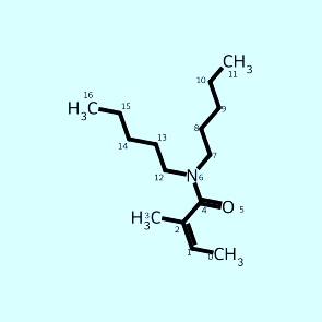 C/C=C(/C)C(=O)N(CCCCC)CCCCC